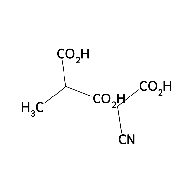 CC(C(=O)O)C(=O)O.N#CCC(=O)O